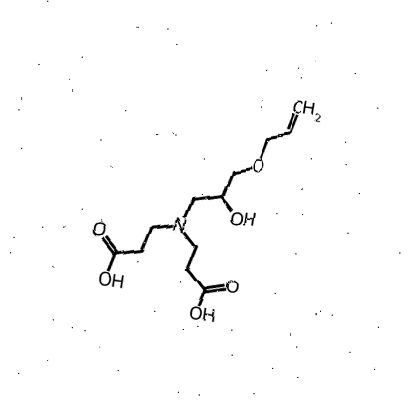 C=CCOCC(O)CN(CCC(=O)O)CCC(=O)O